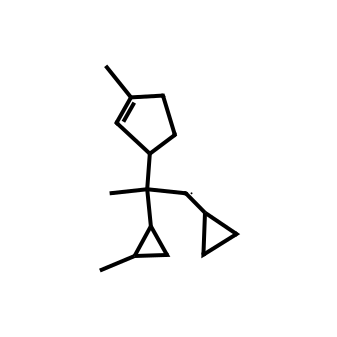 CC1=CC(C(C)([CH]C2CC2)C2CC2C)CC1